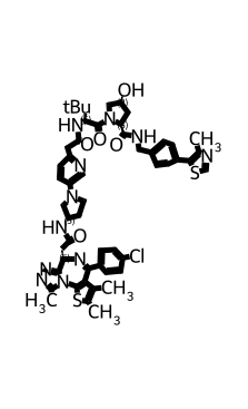 Cc1ncsc1-c1ccc(CNC(=O)[C@@H]2C[C@@H](O)CN2C(=O)[C@@H](NC(=O)Cc2ccc(N3CC[C@H](NC(=O)C[C@@H]4N=C(c5ccc(Cl)cc5)c5c(sc(C)c5C)-n5c(C)nnc54)C3)cn2)C(C)(C)C)cc1